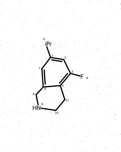 CC(C)c1cc(F)c2c(c1)CNCC2